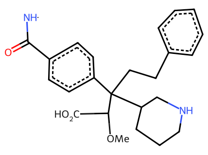 COC(C(=O)O)C(CCc1ccccc1)(c1ccc(C([NH])=O)cc1)C1CCCNC1